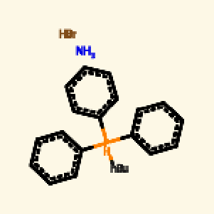 Br.CCCC[PH](c1ccccc1)(c1ccccc1)c1ccccc1.N